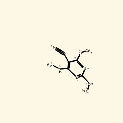 CNc1nc(NC)c(C#N)c(OC)n1